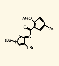 CCCCc1cn(C(C)(C)C)s/c1=N\C(=O)c1cc(C(C)=O)ccc1OC